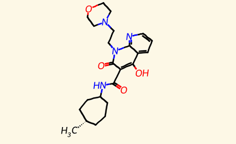 C[C@H]1CCCC(NC(=O)c2c(O)c3cccnc3n(CCN3CCOCC3)c2=O)CC1